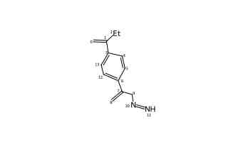 C=C(CC)c1ccc(C(=C)CN=N)cc1